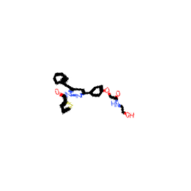 O=C(COc1ccc(C2=NN(C(=O)c3cccs3)C(c3ccccc3)C2)cc1)NCCO